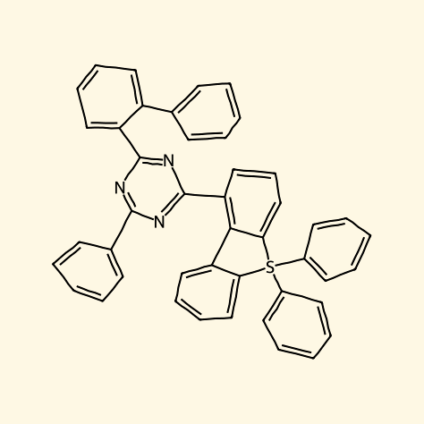 c1ccc(-c2nc(-c3ccccc3-c3ccccc3)nc(-c3cccc4c3-c3ccccc3S4(c3ccccc3)c3ccccc3)n2)cc1